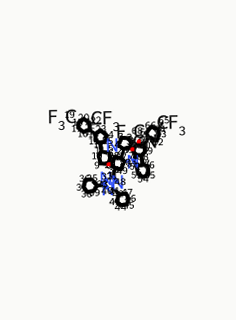 N#Cc1ccc(-n2c3ccccc3c3cc(-c4ccc(C(F)(F)F)cc4C(F)(F)F)ccc32)c(-c2ccc(-c3nc(-c4ccccc4)nc(-c4ccccc4)n3)cc2-n2c3ccccc3c3cc(-c4ccc(C(F)(F)F)cc4C(F)(F)F)ccc32)c1